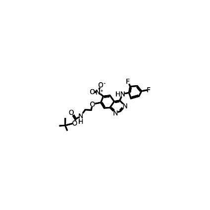 CC(C)(C)OC(=O)NCCOc1cc2ncnc(Nc3ccc(F)cc3F)c2cc1[N+](=O)[O-]